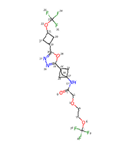 O=C(COCCOC(F)(F)F)NC12CC(c3nnc(C4CC(OC(F)(F)F)C4)o3)(C1)C2